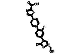 O=C(O)c1nnc(N2CCN(c3ccc(N4C[C@H](CO)OC4=O)cc3F)C=N2)s1